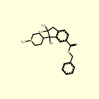 CN1CCC(C2(O)c3cc(C(=O)OCc4ccccc4)ccc3CC2(C)C)CC1